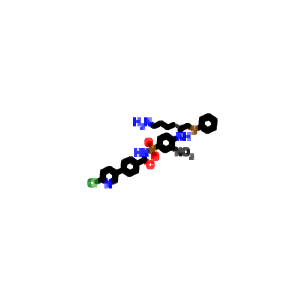 NCCCC[C@H](CSc1ccccc1)Nc1ccc(S(=O)(=O)NC(=O)c2ccc(-c3ccc(Cl)nc3)cc2)cc1[N+](=O)[O-]